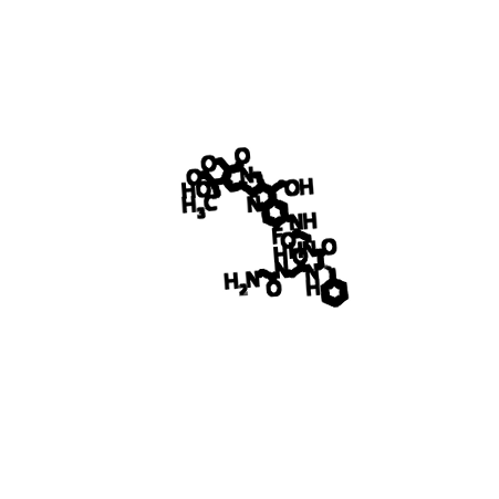 CC[C@@]1(O)C(=O)OCc2c1cc1n(c2=O)Cc2c-1nc1cc(F)c(NC(=O)CNC(=O)[C@H](Cc3ccccc3)NC(=O)CNC(=O)CN)cc1c2CO